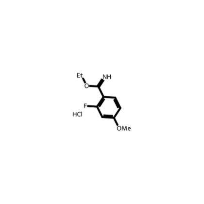 CCOC(=N)c1ccc(OC)cc1F.Cl